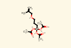 C=C(C)COCCC[Si](OC(=O)C(Cl)(Cl)Cl)(OC(=O)C(Cl)(Cl)Cl)OC(=O)C(Cl)(Cl)Cl